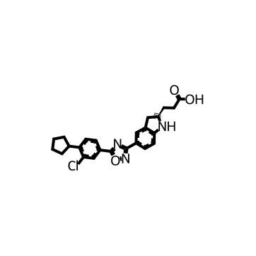 O=C(O)CC[C@@H]1Cc2cc(-c3noc(-c4ccc(C5CCCC5)c(Cl)c4)n3)ccc2N1